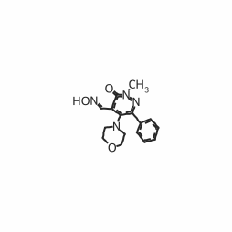 Cn1nc(-c2ccccc2)c(N2CCOCC2)c(C=NO)c1=O